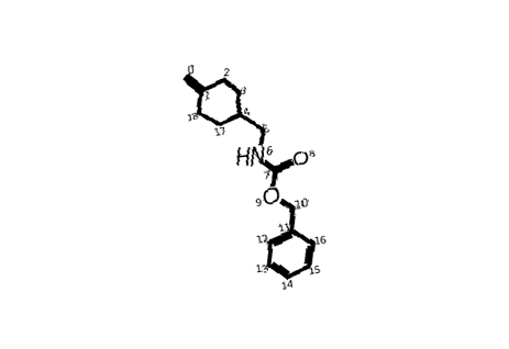 C=C1CCC(CNC(=O)OCc2ccccc2)CC1